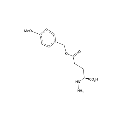 COc1ccc(COC(=O)CC[C@H](NN)C(=O)O)cc1